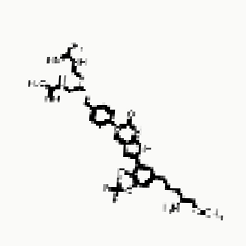 COC[C@H](N)CCCc1cc(OC(F)(F)F)c(F)c(-c2cc3cn(-c4ccc(CO[C@H](CCNC(C)=N)CNC(C)=N)cc4)c(=O)nc3[nH]2)c1